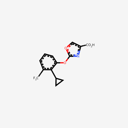 O=C(O)c1coc(Oc2cccc(C(F)(F)F)c2C2CC2)n1